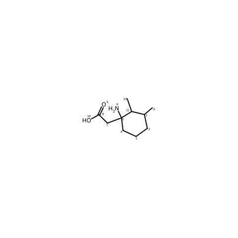 CC1CCCC(N)(CC(=O)O)C1C